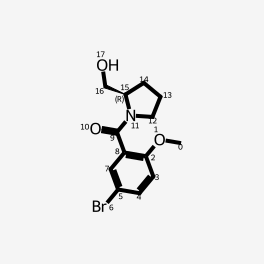 COc1ccc(Br)cc1C(=O)N1CCC[C@@H]1CO